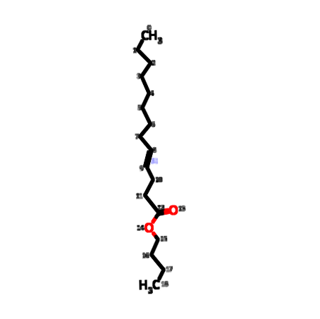 CCCCCCCC/C=C/CCC(=O)OCCCC